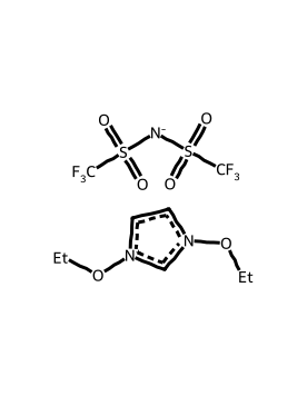 CCOn1cc[n+](OCC)c1.O=S(=O)([N-]S(=O)(=O)C(F)(F)F)C(F)(F)F